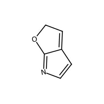 C1=CC2=CCOC2=N1